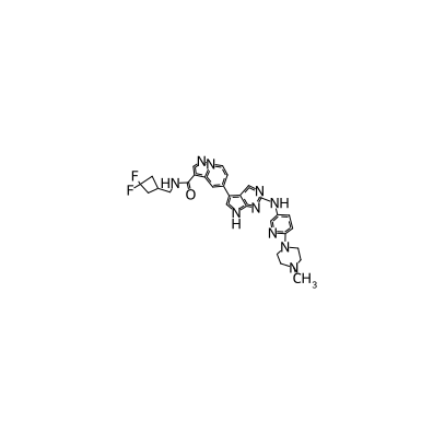 CN1CCN(c2ccc(Nc3ncc4c(-c5ccn6ncc(C(=O)NCC7CC(F)(F)C7)c6c5)c[nH]c4n3)cn2)CC1